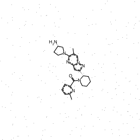 Cc1cccc(C(=O)N2CCCC[C@H]2c2cc3nc(N4CC[C@H](N)C4)c(C)cn3n2)n1